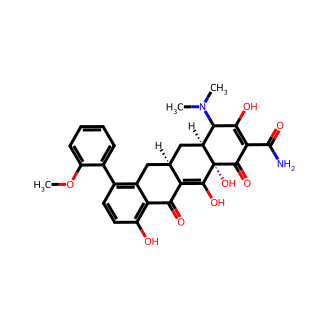 COc1ccccc1-c1ccc(O)c2c1C[C@H]1C[C@H]3C(N(C)C)C(O)=C(C(N)=O)C(=O)[C@@]3(O)C(O)=C1C2=O